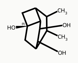 CC1C(C)C2C[C@@]3(O)CC1C(O)C(O)C23